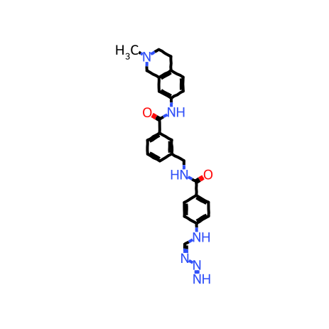 CN1CCc2ccc(NC(=O)c3cccc(CNC(=O)c4ccc(N/C=N\N=N)cc4)c3)cc2C1